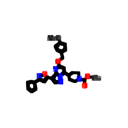 COc1ccc(COc2cc(C3CCN(C(=O)OC(C)(C)C)CC3)n3ncc(-c4cc(-c5ccccc5)no4)c3n2)cc1